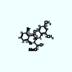 COC(=O)CN(Cc1c(C)cc(C)cc1C)Cc1c(Br)cccc1Br